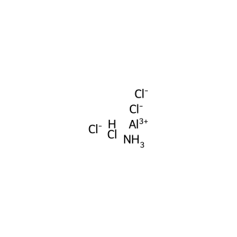 Cl.N.[Al+3].[Cl-].[Cl-].[Cl-]